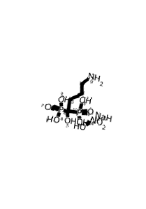 NCCCC(O)(P(=O)(O)O)P(=O)(O)O.O=[N+]([O-])O.[NaH]